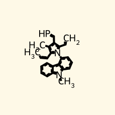 C=Cc1c(C=P)c(C)c(/C=C\C)n1-c1cccc2c1c1ccccc1n2C